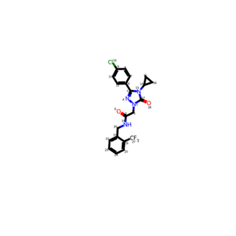 O=C(Cn1nc(-c2ccc(Cl)cc2)n(C2CC2)c1=O)NCc1ccccc1C(F)(F)F